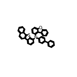 c1ccc(-c2ccc(N(c3cccc4c3sc3c5ccccc5ccc43)c3cccc4oc5ccccc5c34)cc2)cc1